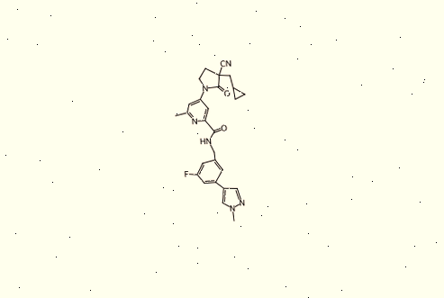 Cc1cc(N2CCC(C#N)(CC3CC3)C2=O)cc(C(=O)NCc2cc(F)cc(-c3cnn(C)c3)c2)n1